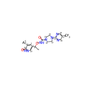 CC(=O)c1cc(C(C)ONC(=O)N2CCN(c3ncc(C(F)(F)F)cn3)CC2)c[nH]c1=O